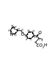 CC(CC(=O)O)C(=O)c1ccc(OCc2cccnc2)cc1